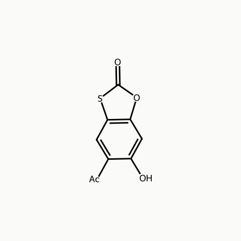 CC(=O)c1cc2sc(=O)oc2cc1O